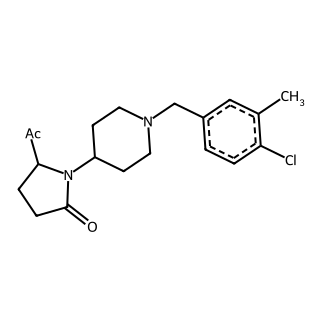 CC(=O)C1CCC(=O)N1C1CCN(Cc2ccc(Cl)c(C)c2)CC1